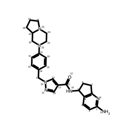 Nc1ccc2c(n1)CCC2NC(=O)c1cnn(Cc2ccc(N3CCN4CCCC4C3)cc2)c1